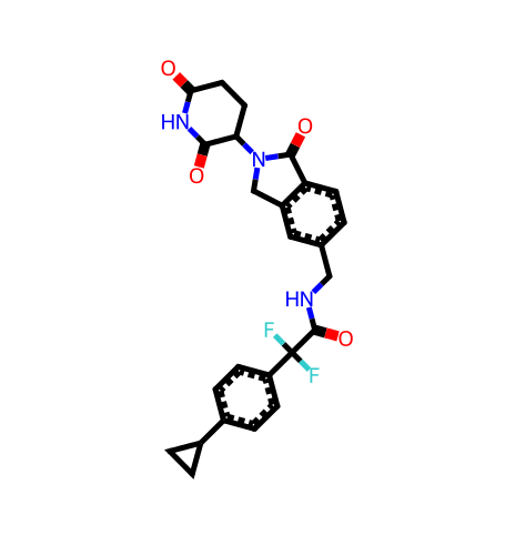 O=C1CCC(N2Cc3cc(CNC(=O)C(F)(F)c4ccc(C5CC5)cc4)ccc3C2=O)C(=O)N1